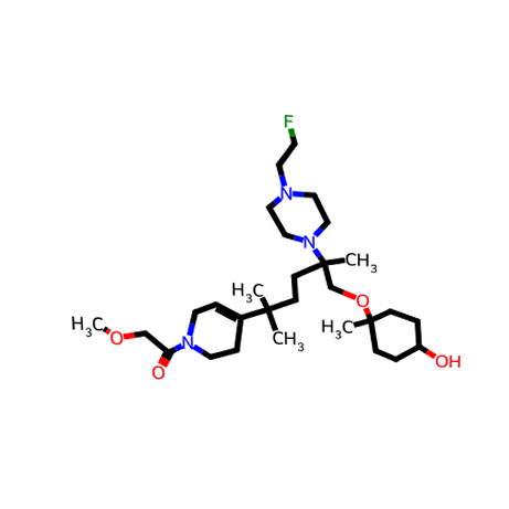 COCC(=O)N1CC=C(C(C)(C)CCC(C)(COC2(C)CCC(O)CC2)N2CCN(CCF)CC2)CC1